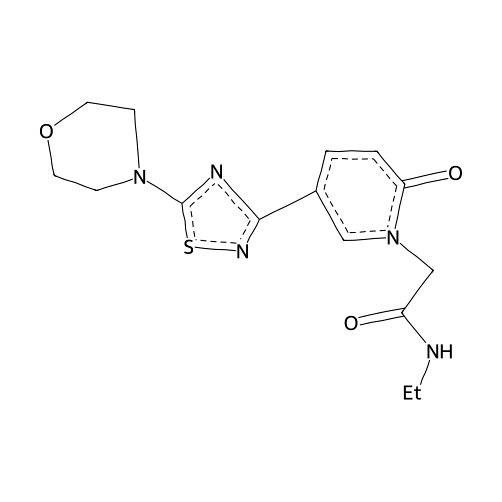 CCNC(=O)Cn1cc(-c2nsc(N3CCOCC3)n2)ccc1=O